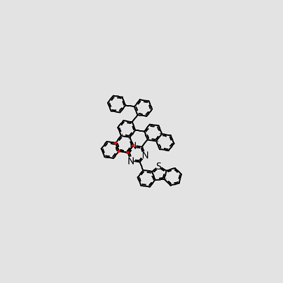 c1ccc(-c2nc(-c3c(-c4c(-c5ccccc5-c5ccccc5)ccc5ccccc45)ccc4ccccc34)nc(-c3cccc4c3sc3ccccc34)n2)cc1